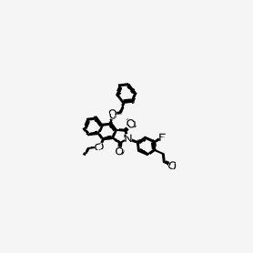 CCOc1c2c(c(OCc3ccccc3)c3ccccc13)C(=O)N(c1ccc(CC=O)c(F)c1)C2=O